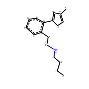 CCCC[NH][Ti][CH2]c1ccccc1C1=CC(C)=CC1